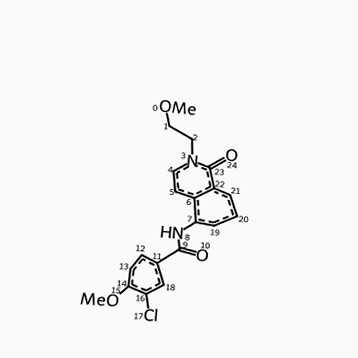 COCCn1ccc2c(NC(=O)c3ccc(OC)c(Cl)c3)cccc2c1=O